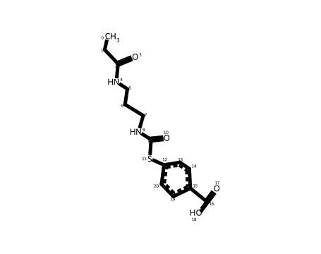 CCC(=O)NCCCNC(=O)Sc1ccc(C(=O)O)cc1